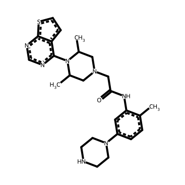 Cc1ccc(N2CCNCC2)cc1NC(=O)CN1CC(C)N(c2ncnc3sccc23)C(C)C1